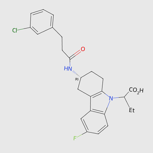 CCC(C(=O)O)n1c2c(c3cc(F)ccc31)C[C@H](NC(=O)CCc1cccc(Cl)c1)CC2